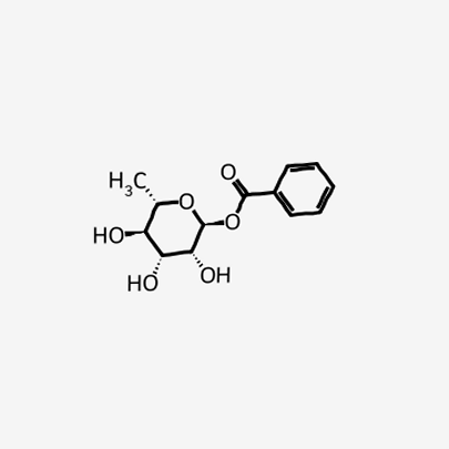 C[C@@H]1O[C@@H](OC(=O)c2ccccc2)[C@H](O)[C@H](O)[C@H]1O